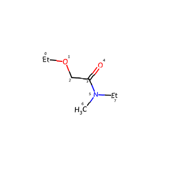 [CH2]COCC(=O)N(C)CC